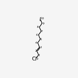 ClCC=CCCCCCCI